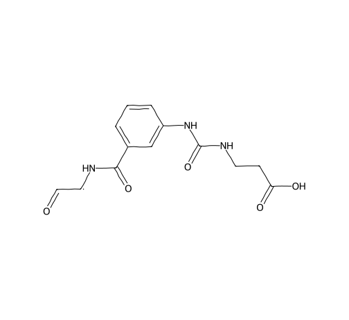 O=C[CH]NC(=O)c1cccc(NC(=O)NCCC(=O)O)c1